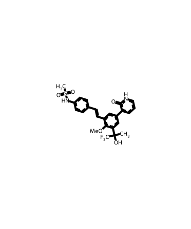 COc1c(C=Cc2ccc(NS(C)(=O)=O)cc2)cc(-c2ccc[nH]c2=O)cc1C(C)(O)C(F)(F)F